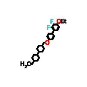 C=CC1CCC(C2CCC(COc3ccc(-c4ccc(OCC)c(F)c4F)cc3)CC2)CC1